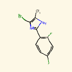 Fc1ccc(-c2nc(Br)c(C(F)(F)F)[nH]2)c(F)c1